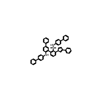 CS(C)(Nc1ccc(-c2ccccc2)cc1)c1c(-c2cc(-c3ccccc3)ccc2Nc2ccc(-c3ccccc3)cc2)cccc1C1C=CC(c2ccccc2)=C1